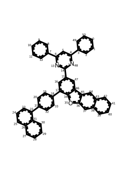 c1ccc(-c2cc(-c3ccccc3)nc(-c3cc(-c4ccc(-c5cccc6ccccc56)cc4)c4oc5cc6ccccc6cc5c4c3)n2)cc1